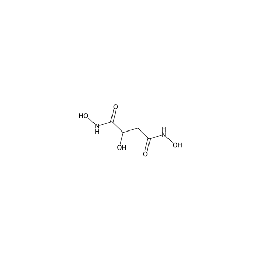 O=C(CC(O)C(=O)NO)NO